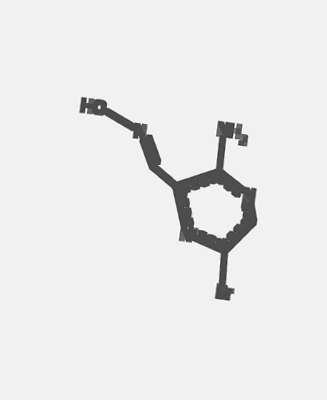 Nc1ncc(Br)nc1C=NO